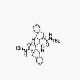 CC(C)(C)NC(=O)N1Cc2ccccc2CC1[C@H](O)[C@@H](O)C1Cc2ccccc2CN1C(=O)NC(C)(C)C